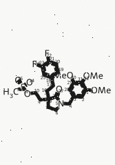 COc1cc(CN2CCC(CCOS(C)(=O)=O)(CCc3ccc(F)c(F)c3)C2=O)cc(OC)c1OC